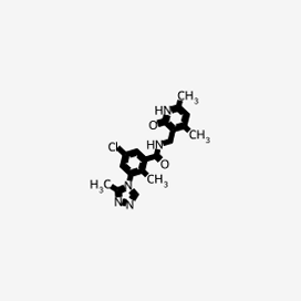 Cc1cc(C)c(CNC(=O)c2cc(Cl)cc(-n3cnnc3C)c2C)c(=O)[nH]1